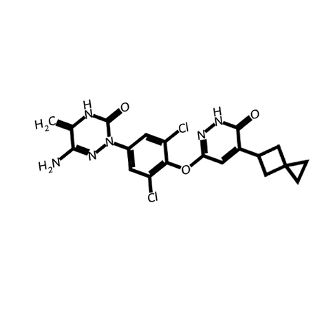 C=C1NC(=O)N(c2cc(Cl)c(Oc3cc(C4CC5(CC5)C4)c(=O)[nH]n3)c(Cl)c2)N=C1N